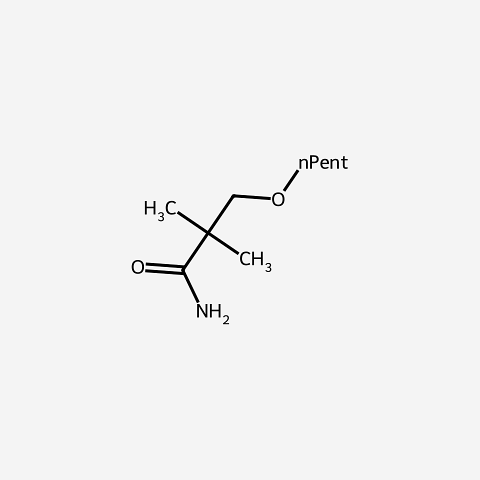 CCCCCOCC(C)(C)C(N)=O